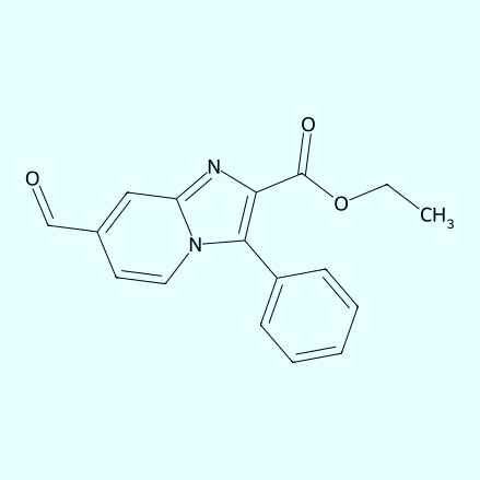 CCOC(=O)c1nc2cc(C=O)ccn2c1-c1ccccc1